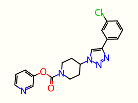 O=C(Oc1cccnc1)N1CCC(n2cc(-c3cccc(Cl)c3)nn2)CC1